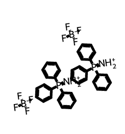 F[B-](F)(F)F.F[B-](F)(F)F.[NH2+]=P(c1ccccc1)(c1ccccc1)c1ccccc1.[NH2+]=P(c1ccccc1)(c1ccccc1)c1ccccc1